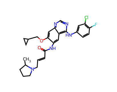 CC1CCCN1C/C=C/C(=O)Nc1cc2c(Nc3ccc(F)c(Cl)c3)ncnc2cc1OCC1CC1